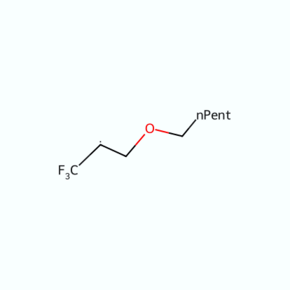 CCCCCCOC[CH]C(F)(F)F